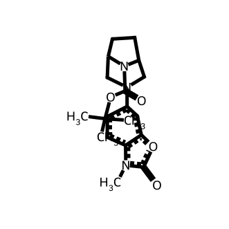 Cn1c(=O)oc2cc(N3CC4CCC(C3)N4C(=O)OC(C)(C)C)ccc21